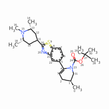 C[C@H]1CC=C(c2ccc3sc(C4C[C@@H](C)N(C)[C@@H](C)C4)nc3c2)N(C(=O)OC(C)(C)C)C1